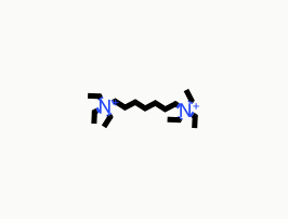 CC[N+](CC)(CC)CCCCCCC[N+](CC)(CC)CC